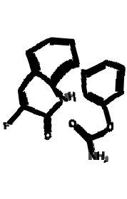 NC(=O)Oc1ccccc1.O=c1[nH]c2ccccc2cc1F